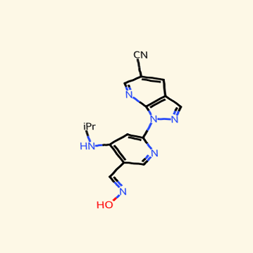 CC(C)Nc1cc(-n2ncc3cc(C#N)cnc32)ncc1C=NO